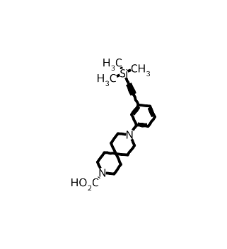 C[Si](C)(C)C#Cc1cccc(N2CCC3(CCN(C(=O)O)CC3)CC2)c1